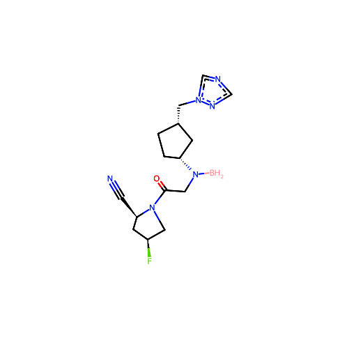 BN(CC(=O)N1C[C@@H](F)C[C@H]1C#N)[C@@H]1CC[C@H](Cn2cncn2)C1